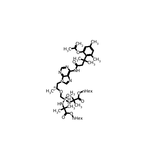 C=C(C)Oc1cc(C)cc(C)c1C(C)(C)CC(=O)Nc1ncnc2c1ncn2C[C@@H](C)OCP(=O)(NC(C)(C)C(=O)OCCCCCC)NC(C)(C)C(=O)OCCCCCC